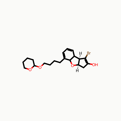 OC1=C(Br)[C@@H]2C3C=CC=C(CCCCOC4CCCCO4)C3O[C@@H]2C1